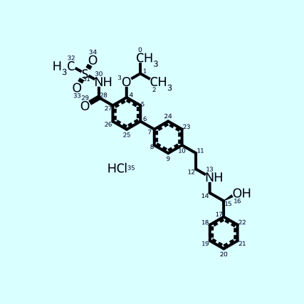 CC(C)Oc1cc(-c2ccc(CCNC[C@@H](O)c3ccccc3)cc2)ccc1C(=O)NS(C)(=O)=O.Cl